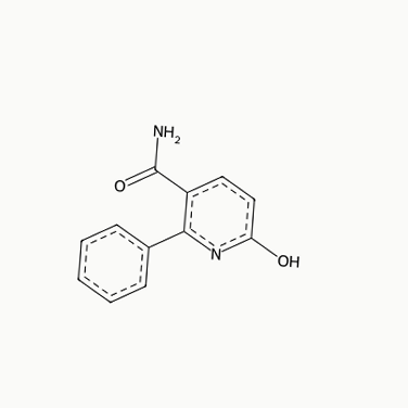 NC(=O)c1ccc(O)nc1-c1ccccc1